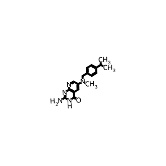 CC(C)c1ccc(CN(C)c2cnc3nc(N)[nH]c(=O)c3c2)cc1